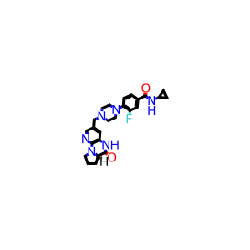 O=C(NC1CC1)c1ccc(N2CCN(Cc3cnc4c(c3)NC(=O)[C@@H]3CCCN43)CC2)c(F)c1